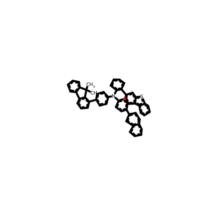 CC1(C)c2ccccc2-c2cccc(-c3ccc(N(c4ccc(-c5ccc6ccccc6c5)cc4)c4ccccc4-c4ccc5c(c4)sc4ccccc45)cc3)c21